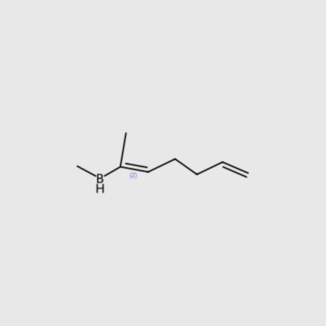 C=CCC/C=C(\C)BC